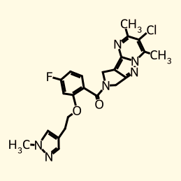 Cc1nc2c3c(nn2c(C)c1Cl)CN(C(=O)c1ccc(F)cc1OCCc1cnn(C)c1)C3